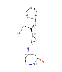 CC/C(=C\c1ccccc1)[C@H]1C[C@@H]1N[C@@H]1CCNC(=O)C1